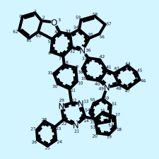 C1=CC2Oc3c(cc(-c4ccc(-c5nc(-c6ccccc6)nc(-c6ccccc6)n5)cc4)c4c3c3c(n4-c4ccc5c(c4)c4ccccc4n5-c4ccccc4)CCC=C3)C2C=C1